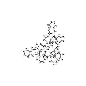 c1ccc(-n2c3cc4ccccc4cc3c3cccc(-c4cccc5c(-c6cccc7ccccc67)c6cccc(-c7cccc8c9cc%10ccccc%10cc9n(-c9ccccc9)c78)c6cc45)c32)cc1